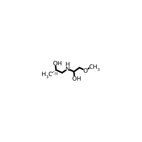 COCC(O)NC[C@H](C)O